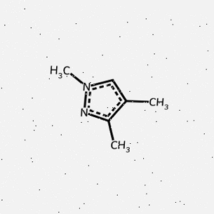 Cc1cn(C)nc1C